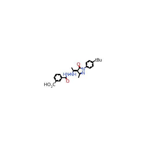 CC1=NN(c2ccc(C(C)(C)C)cc2)C(=O)C1=C(C)NNC(=O)c1cccc(C(=O)O)c1